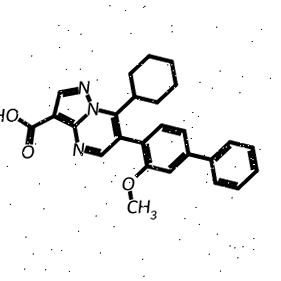 COc1cc(-c2ccccc2)ccc1-c1cnc2c(C(=O)O)cnn2c1C1CCCCC1